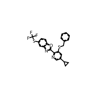 FC(F)(F)Sc1ccc2oc(-c3ncc(C4CC4)cc3SCc3ccccc3)nc2c1